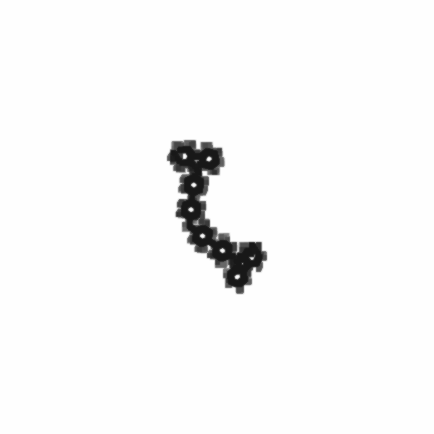 c1ccc2c(c1)c1ccncc1n2-c1ccc(-c2ccc(Cc3ccc(-c4ccc(-n5c6ccccc6c6ccncc65)cc4)cc3)cc2)cc1